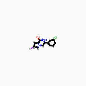 O=c1[nH]c(-c2cccc(Cl)c2)cn2cc(I)cc12